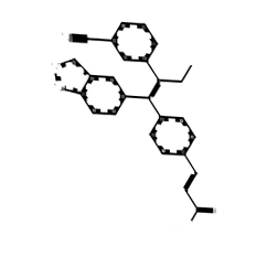 CCC(=C(c1ccc(C=CC(=O)O)cc1)c1ccc2[nH]ncc2c1)c1cccc(C#N)c1